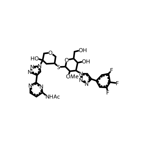 COC1C(SC2COCC(O)(n3cc(-c4nccc(NC(C)=O)n4)nn3)C2)OC(CO)C(O)C1n1cc(-c2cc(F)c(F)c(F)c2)nn1